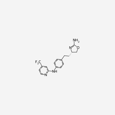 NC1=N[C@@H](CCc2ccc(Nc3cc(C(F)(F)F)ccn3)cc2)CO1